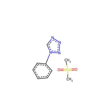 CS(C)(=O)=O.c1ccc(-n2cnnn2)cc1